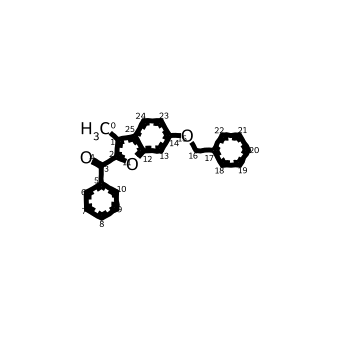 Cc1c(C(=O)c2ccccc2)oc2cc(OCc3ccccc3)ccc12